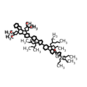 CCCCC(CC)CC1(CC(CC)CCCC)c2cc(-c3ccc4c(c3)C(CC(C)CC)(CC(C)CC)c3cc(-c5ccc6c(c5)C(CC(C)CC)(CC(C)CC)C5=C7C=c8ccccc8=C7C(CC(C)CC)(CC(C)CC)C=C56)ccc3-4)ccc2-c2ccc(-c3cc[c]([Sn]([CH2]CCC)([CH2]CCC)[CH2]CCC)s3)cc21